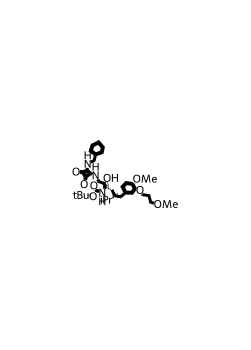 COCCCOc1cc(C[C@@H](C[C@H](NC(=O)OC(C)(C)C)[C@@H](O)CNc2c(NCc3ccccc3)c(=O)c2=O)C(C)C)ccc1OC